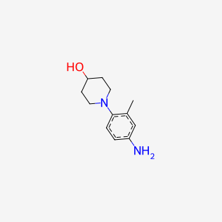 Cc1cc(N)ccc1N1CCC(O)CC1